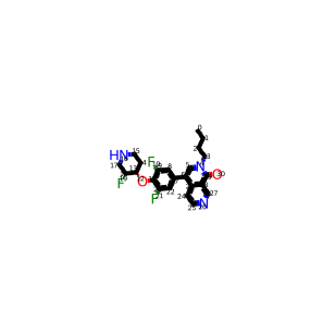 CCCCn1cc(-c2cc(F)c(O[C@@H]3CCNC[C@H]3F)c(F)c2)c2ccncc2c1=O